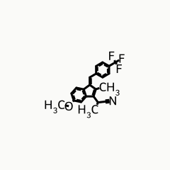 COc1ccc2c(c1)C(C(C)C#N)=C(C)C2=Cc1ccc(C(F)(F)F)cc1